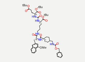 COc1cc(C[C@@H](NC(=O)C2CCC(CNC(=O)OCc3ccccc3)CC2)C(=O)NCCCC[C@H](NC(=O)N[C@@H](CCC(=O)OC(C)(C)C)C(=O)OC(C)(C)C)C(=O)OC(C)(C)C)cc2ccccc12